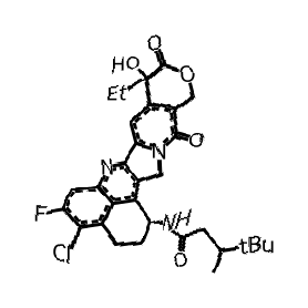 CC[C@@]1(O)C(=O)OCc2c1cc1n(c2=O)Cc2c-1nc1cc(F)c(Cl)c3c1c2[C@@H](NC(=O)CC(C)C(C)(C)C)CC3